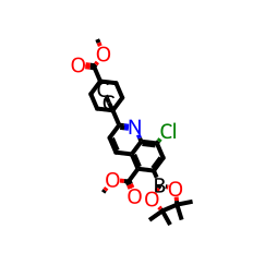 COC(=O)c1c(B2OC(C)(C)C(C)(C)O2)cc(Cl)c2nc(C34CCC(C(=O)OC)(CC3)CC4)ccc12